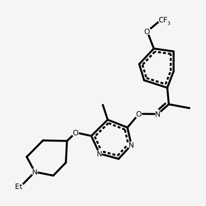 CCN1CCC(Oc2ncnc(ON=C(C)c3ccc(OC(F)(F)F)cc3)c2C)CC1